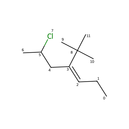 CC/C=C(/CC(C)Cl)C(C)(C)C